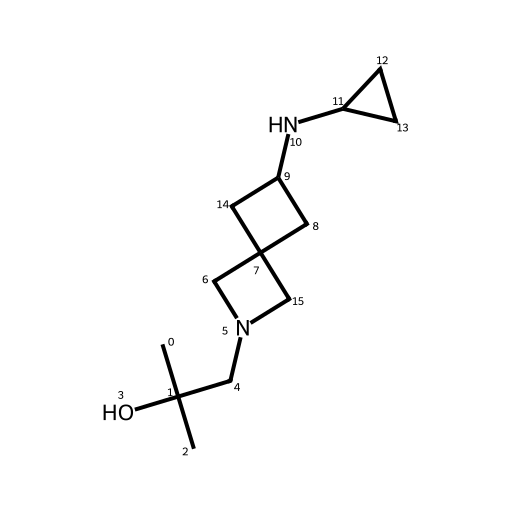 CC(C)(O)CN1CC2(CC(NC3CC3)C2)C1